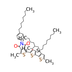 CCCCCCCCc1ccc(N2C(=O)c3c(C)sc(-c4cc5c(s4)-c4sc(C)cc4[Si]5(CCCCCCCC)CC(CC)CCCC)c3C2=O)cc1